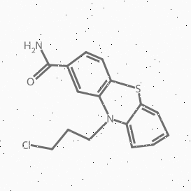 NC(=O)c1ccc2c(c1)N(CCCCl)c1ccccc1S2